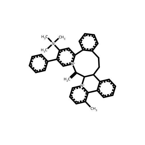 C=C1C2C(CCc3ccccc3-c3cc([Si](C)(C)C)c(-c4ccccc4)c[n+]31)c1ccccc1-c1c(C)ccc[n+]12